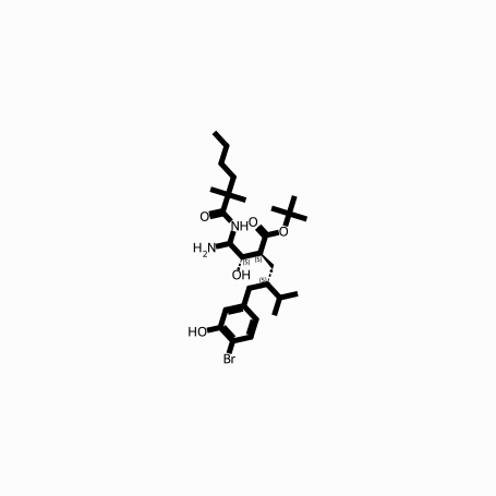 CCCCC(C)(C)C(=O)NC(N)[C@@H](O)[C@H](C[C@@H](Cc1ccc(Br)c(O)c1)C(C)C)C(=O)OC(C)(C)C